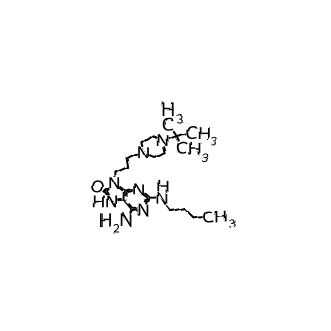 CCCCNc1nc(N)c2[nH]c(=O)n(CCCN3CCN(C(C)(C)C)CC3)c2n1